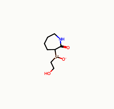 O=C1NCCCCC1[S+]([O-])CCO